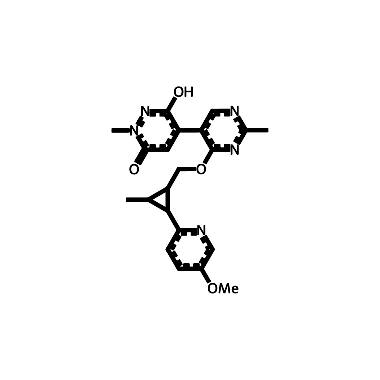 COc1ccc(C2C(C)C2COc2nc(C)ncc2-c2cc(=O)n(C)nc2O)nc1